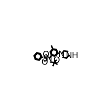 Cc1cc(N2CCNCC2)c2c(c1)N(S(=O)(=O)c1ccccc1)CC(C)(C)O2